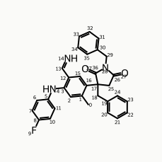 Cc1cc(Nc2ccc(F)cc2)c(C=N)cc1C1(Cc2ccccc2)CC(=O)N(Cc2ccccc2)C1=O